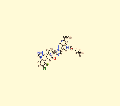 COc1cc2c(cn1)c(-c1cnc([C@@H]3CCC4CC(c5c(-n6cnnn6)ccc(Cl)c5F)=CC(=O)N43)[nH]1)cn2COCC[Si](C)(C)C